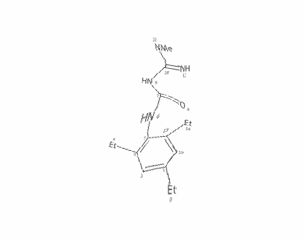 CCc1cc(CC)c(NC(=O)NC(=N)NC)c(CC)c1